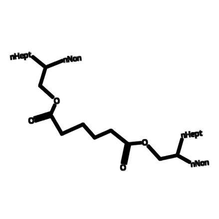 CCCCCCCCCC(CCCCCCC)COC(=O)CCCCC(=O)OCC(CCCCCCC)CCCCCCCCC